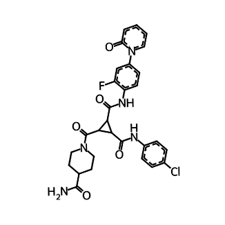 NC(=O)C1CCN(C(=O)C2C(C(=O)Nc3ccc(Cl)cc3)C2C(=O)Nc2ccc(-n3ccccc3=O)cc2F)CC1